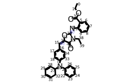 CCOC(=O)c1ccccc1/N=C1/O/C(=C/c2ccc(N(c3ccccc3)C3C=CC=CC3)cc2)C(=O)N1CC